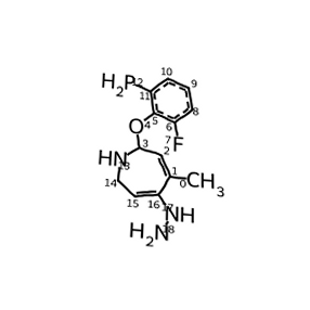 CC1=CC(Oc2c(F)cccc2P)NCC=C1NN